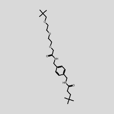 CC(C)(C)CCC(=O)NCc1ccc(CNC(=O)COCCOCCOCC(C)(C)C)cc1